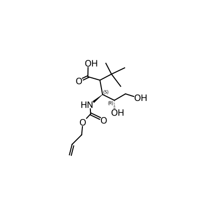 C=CCOC(=O)N[C@@H](C(C(=O)O)C(C)(C)C)[C@@H](O)CO